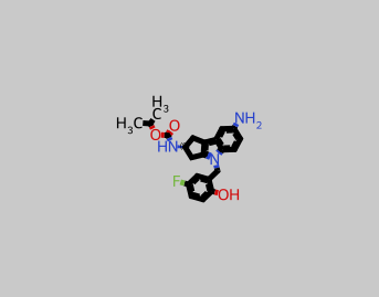 CC(C)OC(=O)N[C@H]1Cc2c(n(Cc3cc(F)ccc3O)c3ccc(N)cc23)C1